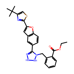 CCOC(=O)c1ccccc1CN1NNN=C1c1ccc2oc(-c3nc(C(C)(C)C)cs3)cc2c1